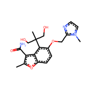 Cc1oc2ccc(OCc3nccn3C)c(C(C)(CO)CO)c2c1C(N)=O